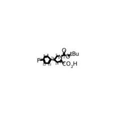 CC(C)(C)OC(=O)N1C[C@H](c2ccc(F)cc2)C[C@H]1C(=O)O